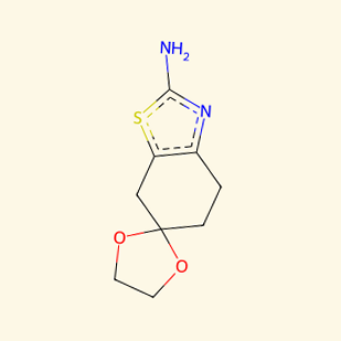 Nc1nc2c(s1)CC1(CC2)OCCO1